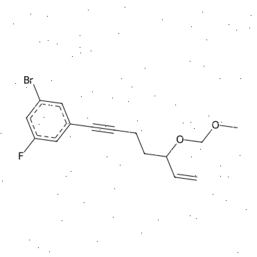 C=CC(CCC#Cc1cc(F)cc(Br)c1)OCOC